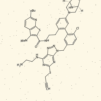 C#CCSc1nc(NCCN)c2nnn(Cc3ccc(Cl)c(-c4cc(N5C[C@H]6CC[C@@H](C5)N6)ccc4CCNC(=O)c4sc5nc(CCCC)ccc5c4NC)c3)c2n1